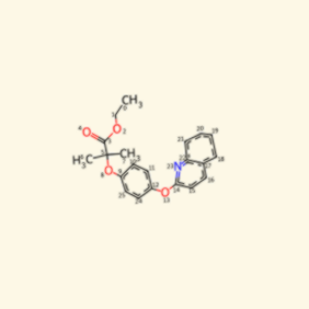 CCOC(=O)C(C)(C)Oc1ccc(Oc2ccc3ccccc3n2)cc1